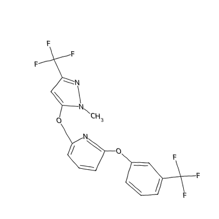 Cn1nc(C(F)(F)F)cc1Oc1cccc(Oc2cccc(C(F)(F)F)c2)n1